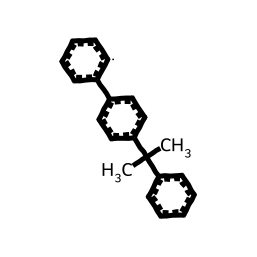 CC(C)(c1ccccc1)c1ccc(-c2[c]cccc2)cc1